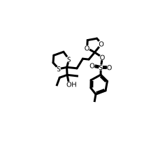 CCC(C)(O)C1(CCCC2(OS(=O)(=O)c3ccc(C)cc3)OCCO2)SCCCS1